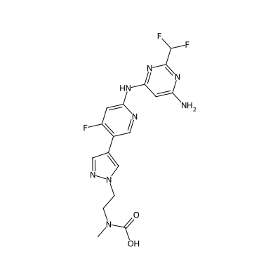 CN(CCn1cc(-c2cnc(Nc3cc(N)nc(C(F)F)n3)cc2F)cn1)C(=O)O